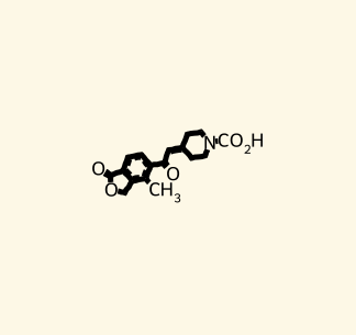 Cc1c(C(=O)C=C2CCN(C(=O)O)CC2)ccc2c1COC2=O